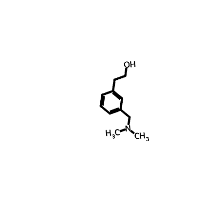 CN(C)Cc1cccc(CCO)c1